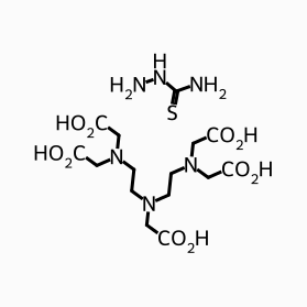 NNC(N)=S.O=C(O)CN(CCN(CC(=O)O)CC(=O)O)CCN(CC(=O)O)CC(=O)O